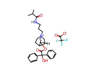 CC(C)C(=O)NCCC[N+]12CCC(CC1)[C@@H](OC(=O)C(O)(c1ccccc1)c1ccccc1)C2.O=C([O-])C(F)(F)F